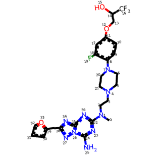 CN(CCN1CCN(c2ccc(OCC(O)C(F)(F)F)cc2F)CC1)c1nc(N)n2nc(-c3ccco3)nc2n1